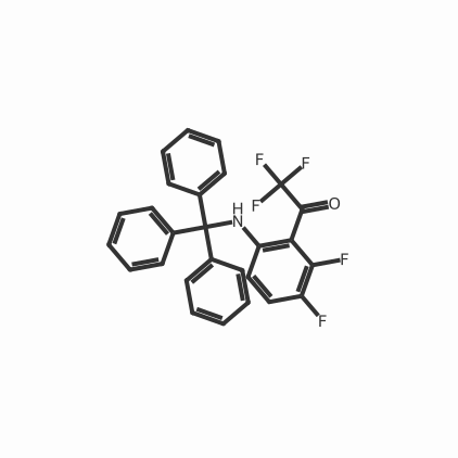 O=C(c1c(NC(c2ccccc2)(c2ccccc2)c2ccccc2)ccc(F)c1F)C(F)(F)F